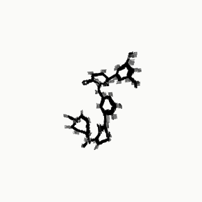 CN1CCC(N(C)c2ccnc(-c3cccc(Cn4nc(-c5cc(F)cc(F)c5)ccc4=O)c3)n2)CC1